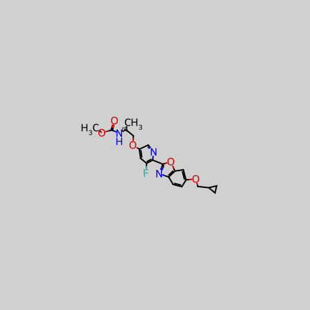 COC(=O)N[C@@H](C)COc1cnc(-c2nc3ccc(OCC4CC4)cc3o2)c(F)c1